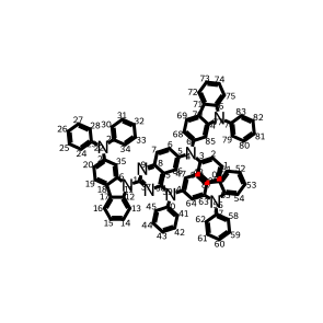 c1ccc(N(c2ccc3nc(-n4c5ccccc5c5ccc(N(c6ccccc6)c6ccccc6)cc54)nc(N(c4ccccc4)c4ccc5c6ccccc6n(-c6ccccc6)c5c4)c3c2)c2ccc3c4ccccc4n(-c4ccccc4)c3c2)cc1